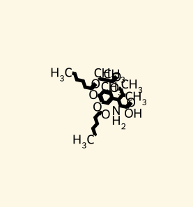 CCCCCC(=O)Oc1ccc(C(C(C)C(C)OC(=O)C(C)(C)CC)[C@H](N)C(=O)O)cc1OC(=O)CCCCC